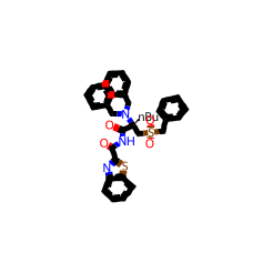 CCCC[C@](CS(=O)(=O)Cc1ccccc1)(C(=O)NC(=O)c1nc2ccccc2s1)N(Cc1ccccc1)Cc1ccccc1